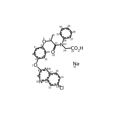 CC(Oc1ccc(Oc2cnc3cc(Cl)ccc3n2)cc1)C(=O)N(CC(=O)O)c1ccccc1.[Na]